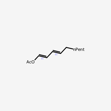 CCCCCC/C=C/C=C/OC(C)=O